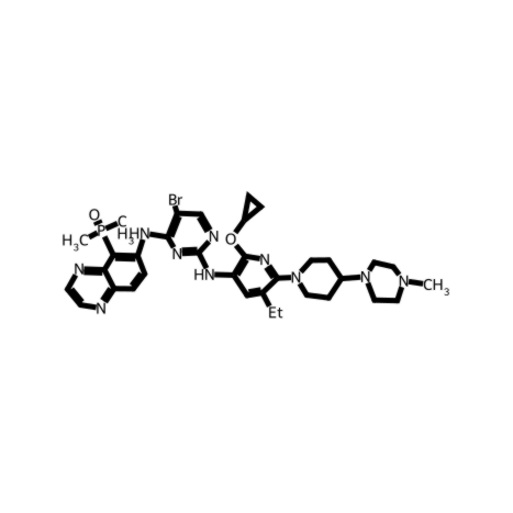 CCc1cc(Nc2ncc(Br)c(Nc3ccc4nccnc4c3P(C)(C)=O)n2)c(OC2CC2)nc1N1CCC(N2CCN(C)CC2)CC1